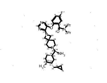 CC(C)N(C(=O)c1cc(F)ccc1Oc1cncnc1N1CC2(CCN([C@@H](N)[C@@H]3CC[C@H](C)[C@@H](CC4CC4)C3)CC2)C1)C(C)C